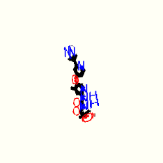 COC(C)(C)C(=O)NC(=O)Nc1cc(C)c(Oc2ccnc(-c3cnn(C)c3)c2)cn1